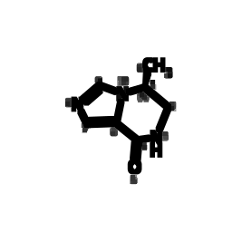 C[C@H]1CNC(=O)c2cncn21